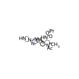 C=C(/C=N\C(=C/N)N1CCNCC1)c1ccc2c(c1)C(NC(=O)OC(C)C)C[C@@H](C)N2C(C)=O